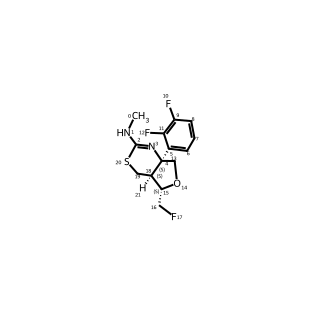 CNC1=N[C@@]2(c3cccc(F)c3F)CO[C@H](CF)[C@H]2CS1